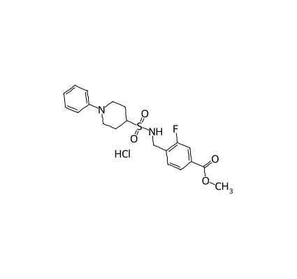 COC(=O)c1ccc(CNS(=O)(=O)C2CCN(c3ccccc3)CC2)c(F)c1.Cl